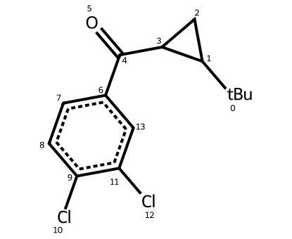 CC(C)(C)C1CC1C(=O)c1ccc(Cl)c(Cl)c1